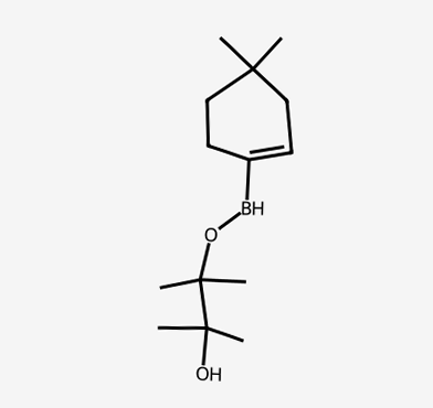 CC1(C)CC=C(BOC(C)(C)C(C)(C)O)CC1